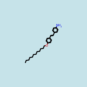 CCCCCCCCCCCCOc1ccc(C=Cc2ccc(N)cc2)cc1